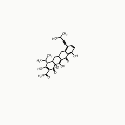 CC(O)C#Cc1ccc(O)c2c1CC1CC3C(N(C)C)C(O)=C(C(N)=O)C(=O)C3(O)C(O)=C1C2=O